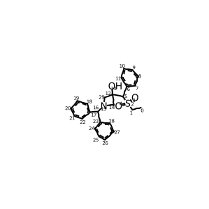 CCS(=O)(=O)C(c1ccccc1)C1(O)CN(C(c2ccccc2)c2ccccc2)C1